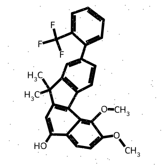 COc1ccc2c(O)cc3c(c2c1OC)-c1ccc(-c2ccccc2C(F)(F)F)cc1C3(C)C